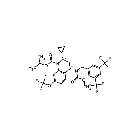 COC(=O)N(Cc1cc(C(F)(F)F)cc(C(F)(F)F)c1)[C@H]1C[C@@H](C2CC2)N(C(=O)OC(C)C)c2cc(OC(F)(F)F)ccc21